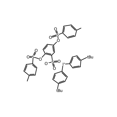 CC(C)(C)c1ccc([I+]c2ccc(C(C)(C)C)cc2)cc1.Cc1ccc(S(=O)(=O)Oc2ccc(OS(=O)(=O)c3ccc(C)cc3)c(S(=O)(=O)[O-])c2)cc1